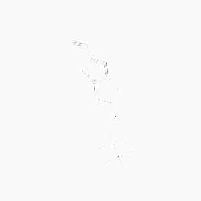 CC(C)(C)[Si](C)(C)OCC1Cn2cc([N+](=O)[O-])nc2O1